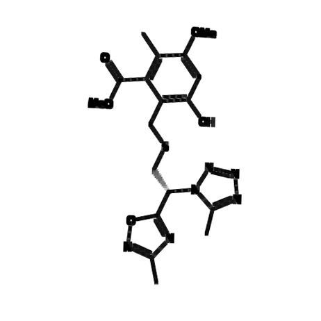 COC(=O)c1c(C)c(OC)cc(O)c1CSC[C@@H](c1nc(C)no1)n1nnnc1C